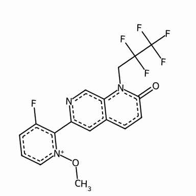 CO[n+]1cccc(F)c1-c1cc2ccc(=O)n(CC(F)(F)C(F)(F)F)c2cn1